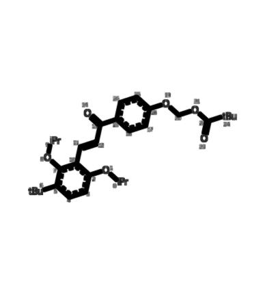 CC(C)Oc1ccc(C(C)(C)C)c(OC(C)C)c1C=CC(=O)c1ccc(OCOC(=O)C(C)(C)C)cc1